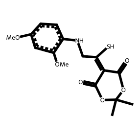 COc1ccc(NCC(S)=C2C(=O)OC(C)(C)OC2=O)c(OC)c1